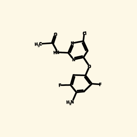 CC(=O)Nc1nc(Cl)cc(Oc2cc(F)c(N)cc2F)n1